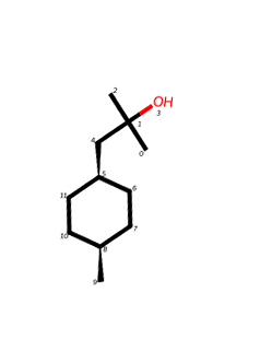 CC(C)(O)C[C@H]1CC[C@@H](C)CC1